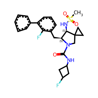 CS(=O)(=O)N[C@@H]1[C@H](Cc2cccc(-c3ccccc3)c2F)N(C(=O)NC2CC(F)C2)CC12CC2